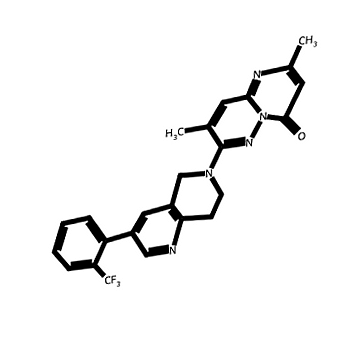 Cc1cc(=O)n2nc(N3CCc4ncc(-c5ccccc5C(F)(F)F)cc4C3)c(C)cc2n1